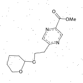 COC(=O)c1cnc(CCOC2CCCCO2)cn1